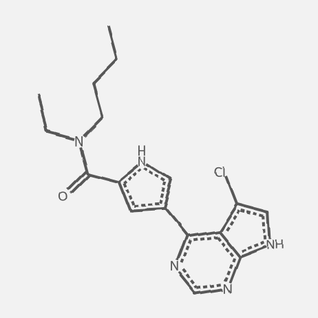 CCCCN(CC)C(=O)c1cc(-c2ncnc3[nH]cc(Cl)c23)c[nH]1